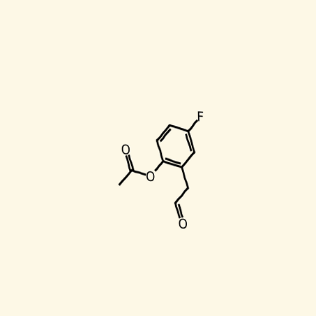 CC(=O)Oc1ccc(F)cc1CC=O